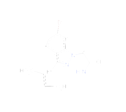 CCc1nn(C[C@H](C)N)c2cc(Br)ccc12.O=C(O)/C=C/C(=O)O